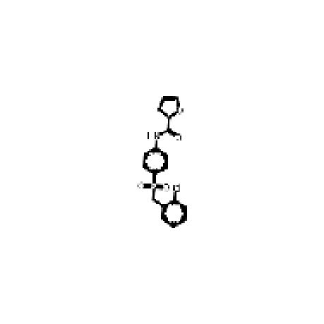 O=C(Nc1ccc(S(=O)(=O)Cc2ccccc2Cl)cc1)C1CC=CO1